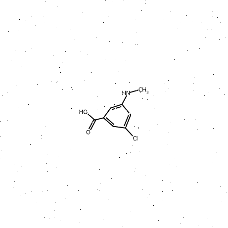 CNc1cc(Cl)cc(C(=O)O)c1